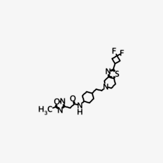 Cc1nc(CC(=O)NC2CCC(CCN3CCc4sc(C5CC(F)(F)C5)nc4C3)CC2)no1